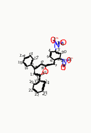 O=[N+]([O-])c1ccc(C=C2C=C(c3ccccc3)C=C(c3ccccc3)O2)c([N+](=O)[O-])c1